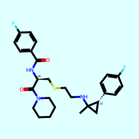 CC1(NCCSC[C@H](NC(=O)c2ccc(F)cc2)C(=O)N2CCCCC2)C[C@H]1c1ccc(F)cc1